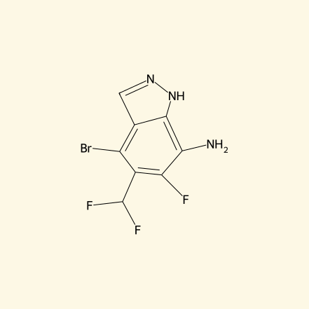 Nc1c(F)c(C(F)F)c(Br)c2cn[nH]c12